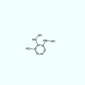 CCCNc1cccc(O)c1NCCC